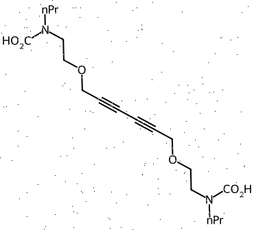 CCCN(CCOCC#CC#CCOCCN(CCC)C(=O)O)C(=O)O